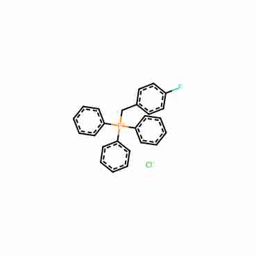 Fc1ccc(C[P+](c2ccccc2)(c2ccccc2)c2ccccc2)cc1.[Cl-]